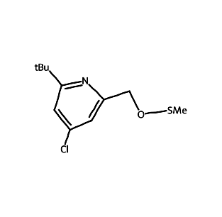 CSOCc1cc(Cl)cc(C(C)(C)C)n1